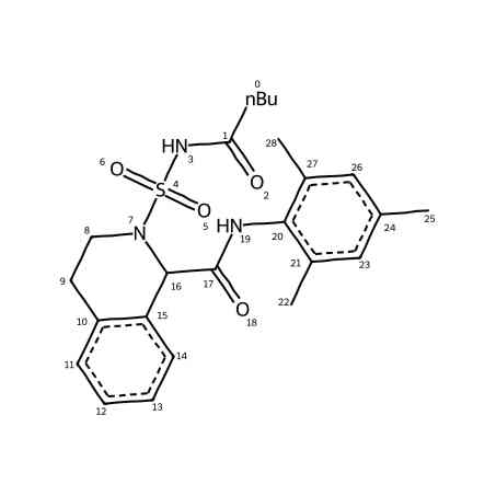 CCCCC(=O)NS(=O)(=O)N1CCc2ccccc2C1C(=O)Nc1c(C)cc(C)cc1C